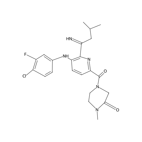 CC(C)CC(=N)c1nc(C(=O)N2CCN(C)C(=O)C2)ccc1Nc1ccc(Cl)c(F)c1